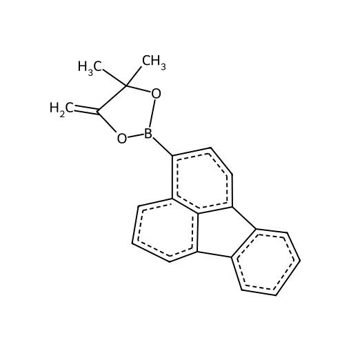 C=C1OB(c2ccc3c4c(cccc24)-c2ccccc2-3)OC1(C)C